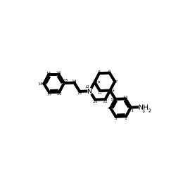 Nc1cccc(C23CCCC(C2)N(CCc2ccccc2)CC3)c1